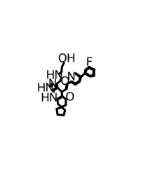 O=C1CC2(CCCC2)CC2=C1C(/C=C/c1ccc(-c3cccc(F)c3)cn1)c1c(C(=O)NCCCO)n[nH]c1N2